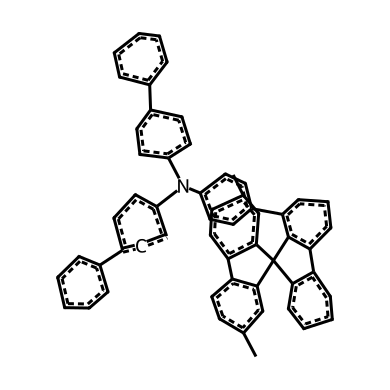 Cc1ccc2c(c1)C1(c3cc(C)ccc3-2)c2ccccc2-c2cccc(-c3ccc(N(c4ccc(-c5ccccc5)cc4)c4ccc(-c5ccccc5)cc4)cc3)c21